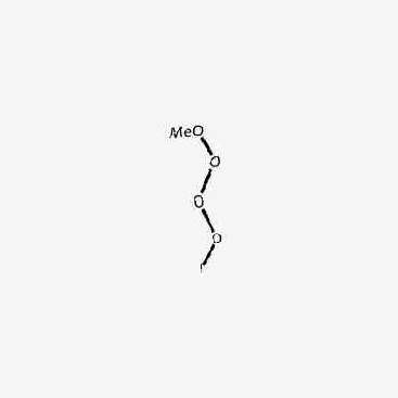 COOOOI